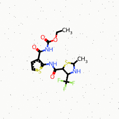 CCOC(=O)NC(=O)c1ccsc1NC(=O)C1SC(C)NC1C(F)(F)F